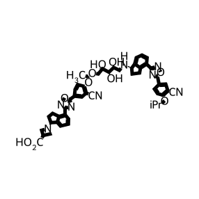 CC(C)Oc1ccc(-c2nc(-c3cccc4c3CC[C@@H]4NC[C@@H](O)[C@H](O)[C@H](O)COC(C)Oc3ccc(-c4nc(-c5cccc6c5CC[C@@H]6N5CC(C(=O)O)C5)no4)cc3C#N)no2)cc1C#N